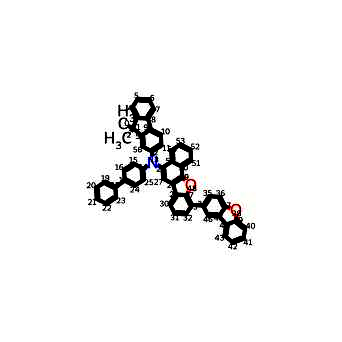 CC1(C)c2ccccc2-c2ccc(N(c3ccc(-c4ccccc4)cc3)c3cc4c5cccc(-c6ccc7oc8ccccc8c7c6)c5oc4c4ccccc34)cc21